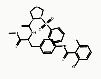 COC(=O)[C@H](Cc1ccc(NC(=O)c2c(Cl)cccc2Cl)cc1)NC(=O)[C@H]1CSCN1S(=O)(=O)c1ccccc1